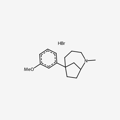 Br.COc1cccc(C23CCCN(C)C(CC2)C3)c1